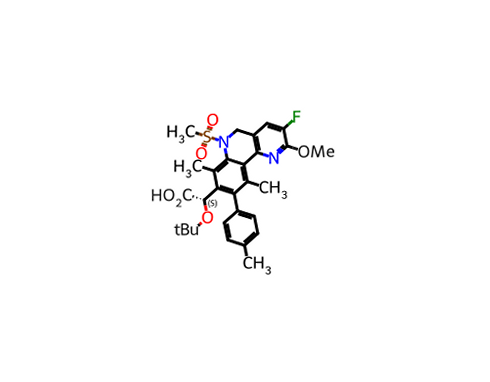 COc1nc2c(cc1F)CN(S(C)(=O)=O)c1c(C)c([C@H](OC(C)(C)C)C(=O)O)c(-c3ccc(C)cc3)c(C)c1-2